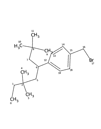 CCC(C)(C)CC(CC(C)(C)C)c1ccc(CBr)cc1